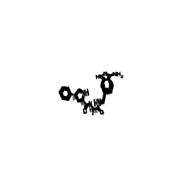 C[C@H](NC(=O)[C@H]1C[C@H](c2ccccc2)CN1)C(=O)NCc1ccc2c(N)n[nH]c2c1